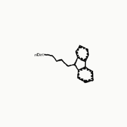 CCCCCCCCCCCCCCC1c2ccccc2-c2ccccc21